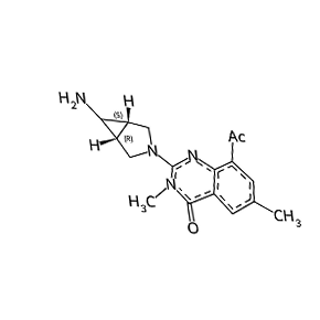 CC(=O)c1cc(C)cc2c(=O)n(C)c(N3C[C@@H]4C(N)[C@@H]4C3)nc12